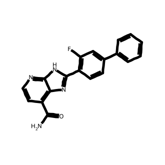 NC(=O)c1ccnc2[nH]c(-c3ccc(-c4ccccc4)cc3F)nc12